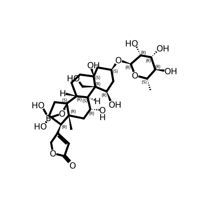 C[C@@H]1O[C@@H](O[C@H]2C[C@@H](O)[C@]3(CO)[C@H]4[C@H](O)C[C@]5(C)[C@@H](C6=CC(=O)OC6)CC[C@]5(OB(O)O)[C@@H]4CC[C@]3(O)C2)[C@H](O)[C@H](O)[C@H]1O